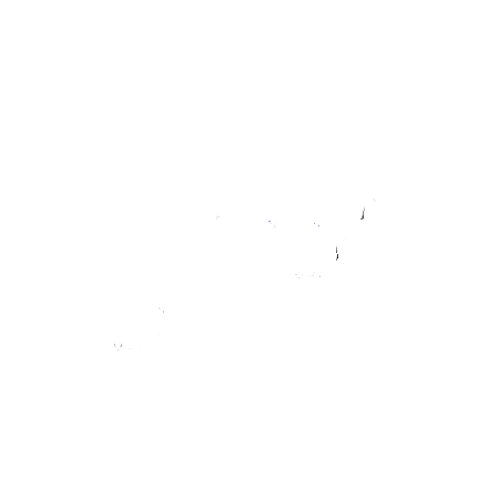 CNC[C@H](C[C@@H]1CCCOC1)NC(=O)N1CCC[C@@H](C(OCCNC(=O)OC)c2cc(F)cc(F)c2)C1